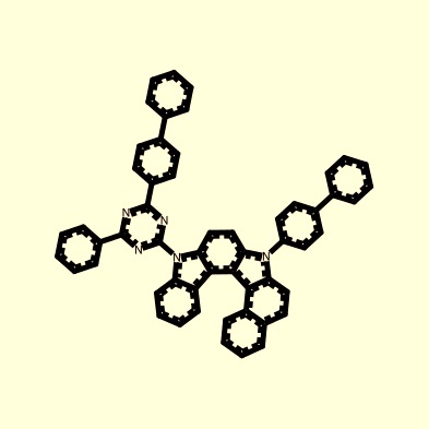 c1ccc(-c2ccc(-c3nc(-c4ccccc4)nc(-n4c5ccccc5c5c6c7c8ccccc8ccc7n(-c7ccc(-c8ccccc8)cc7)c6ccc54)n3)cc2)cc1